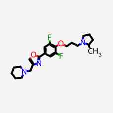 CC1CCCN1CCCOc1c(F)cc(-c2nc(CN3CCCCC3)co2)cc1F